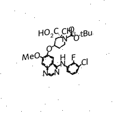 COc1cc2ncnc(Nc3cccc(Cl)c3F)c2cc1O[C@@H]1CCN(C(=O)OC(C)(C)C)[C@@](C)(C(=O)O)C1